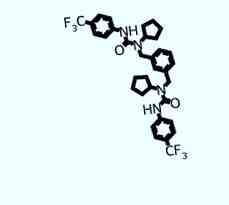 O=C(Nc1ccc(C(F)(F)F)cc1)N(Cc1cccc(CN(C(=O)Nc2ccc(C(F)(F)F)cc2)C2CCCC2)c1)C1CCCC1